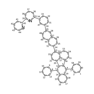 c1ccc(-c2c3c(c(-c4ccccc4)c4ccccc24)-c2ccc(-c4ccc5cc(-c6cccc(-c7cccc(-c8ccccn8)n7)c6)ccc5c4)c4cccc-3c24)cc1